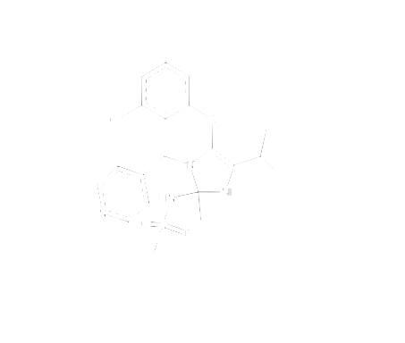 CC(C)C1=C(Sc2cccc(Cl)c2)N(Cc2ccncc2)C(C)(NS(C)(=O)=O)N1